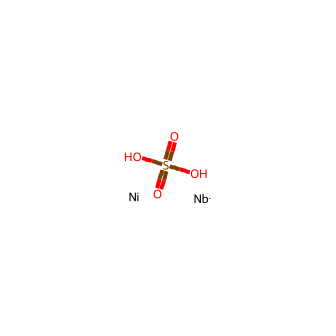 O=S(=O)(O)O.[Nb].[Ni]